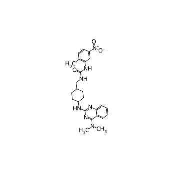 Cc1ccc([N+](=O)[O-])cc1NC(=O)NCC1CCC(Nc2nc(N(C)C)c3ccccc3n2)CC1